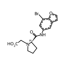 O=C(O)CN1CCC[C@@H]1C(=O)Nc1cc(Br)c2occc2c1